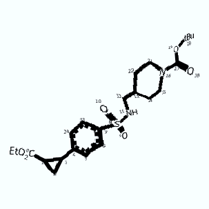 CCOC(=O)C1CC1c1ccc(S(=O)(=O)NCC2CCN(C(=O)OC(C)(C)C)CC2)cc1